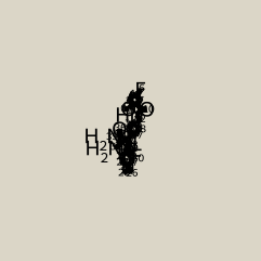 COc1ccc(F)cc1C(=O)NCc1ccc(-c2nn(C3CCN(C(C)C)CC3(F)F)c(N)c2C(N)=O)cc1